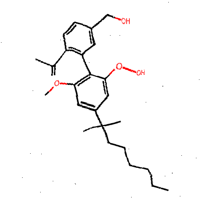 C=C(C)c1ccc(CO)cc1-c1c(OC)cc(C(C)(C)CCCCCC)cc1OO